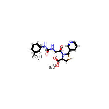 CC(C)(C)OC(=O)C1CSC(c2cccnc2)N1C(=O)CNC(=O)Nc1cccc(C(=O)O)c1